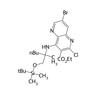 CCCCC(C)(CO[Si](C)(C)C(C)(C)C)Nc1c(C(=O)OCC)c(Cl)nc2cc(Br)cnc12